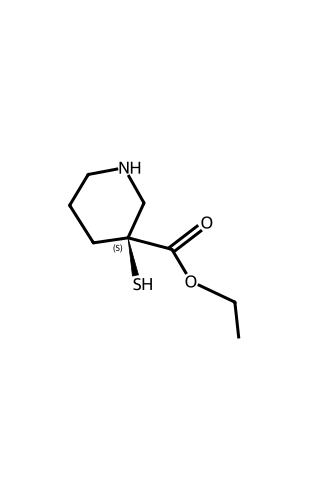 CCOC(=O)[C@]1(S)CCCNC1